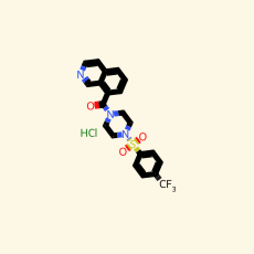 Cl.O=C(c1cccc2ccncc12)N1CCN(S(=O)(=O)c2ccc(C(F)(F)F)cc2)CC1